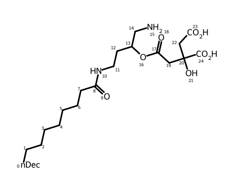 CCCCCCCCCCCCCCCCCC(=O)NCCC(CN)OC(=O)CC(O)(CC(=O)O)C(=O)O